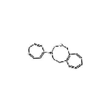 C1=CC=CC2=C(C=1)CCN(C1=CC=CCC=C1)COC2